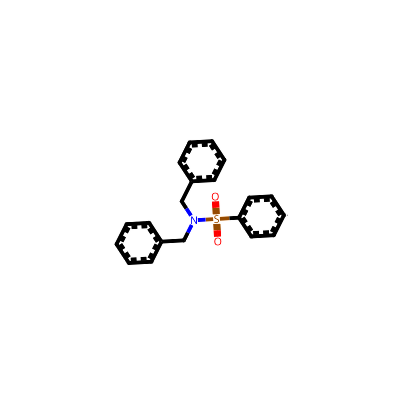 O=S(=O)(c1cc[c]cc1)N(Cc1ccccc1)Cc1ccccc1